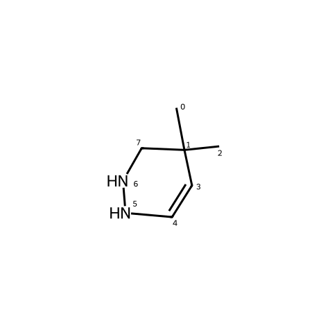 CC1(C)C=CNNC1